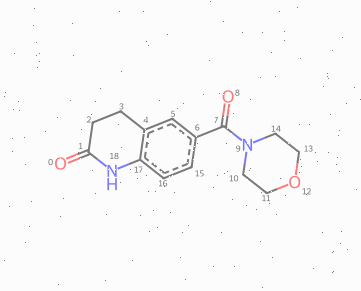 O=C1CCc2cc(C(=O)N3CCOCC3)ccc2N1